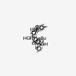 CCCCN1C(=O)[C@@H]([C@H](O)C2CCCCC2)NC(=O)C12CCN(Cc1ccc(NS(=O)(=O)c3ccc(C)cc3)cc1)CC2.Cl